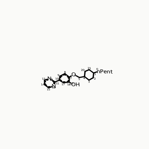 CCCCCC1CCC(COc2ccc(-c3ncccn3)cc2O)CC1